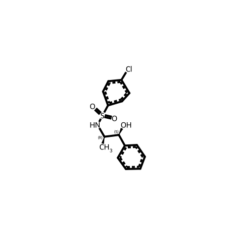 C[C@@H](NS(=O)(=O)c1ccc(Cl)cc1)[C@@H](O)c1ccccc1